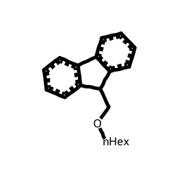 [CH2]CCCCCOCC1c2ccccc2-c2ccccc21